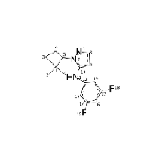 CC1(C)CCC1n1nccc1Nc1cc(F)cc(F)c1